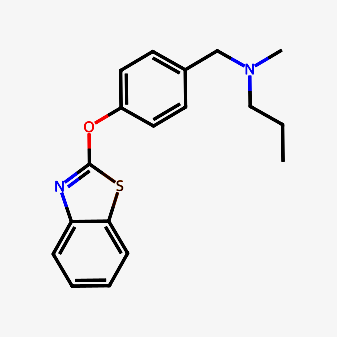 CCCN(C)Cc1ccc(Oc2nc3ccccc3s2)cc1